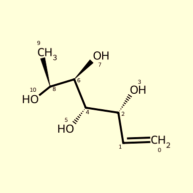 C=C[C@@H](O)[C@H](O)[C@H](O)[C@H](C)O